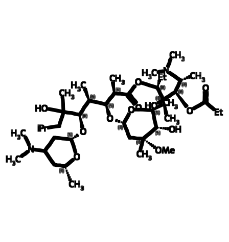 CCC(=O)O[C@H]([C@@H](C)N(C)C)[C@](C)(O)[C@@H](CC)OC(=O)[C@H](C)[C@@H](O[C@H]1C[C@@](C)(OC)[C@@H](O)[C@H](C)O1)[C@H](C)[C@@H](O[C@H]1CC(N(C)C)C[C@@H](C)O1)C(C)(O)CC(C)C